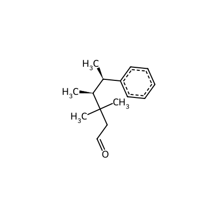 C[C@@H](c1ccccc1)[C@H](C)C(C)(C)CC=O